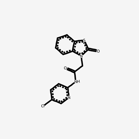 O=C(Cn1c(=O)sc2ccccc21)Nc1ccc(Cl)cn1